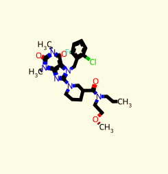 CCCN(CCOC)C(=O)C1CCCN(c2nc3c(c(=O)n(C)c(=O)n3C)n2Cc2c(F)cccc2Cl)C1